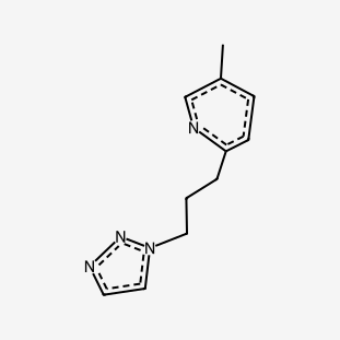 Cc1ccc(CCCn2ccnn2)nc1